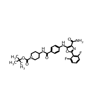 CC(C)(C)OC(=O)N1CCC(NC(=O)c2ccc(Nc3oc(-c4c(F)cccc4F)nc3C(N)=O)cc2)CC1